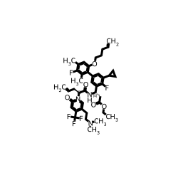 C=CCCCOc1cc(C)c(F)c(C)c1-c1cc(C2CC2)c(F)c([C@H](CC(=O)OCC)NC(=O)[C@H](CC=C)n2cc(CCN(C)C)c(C(F)(F)F)cc2=O)c1